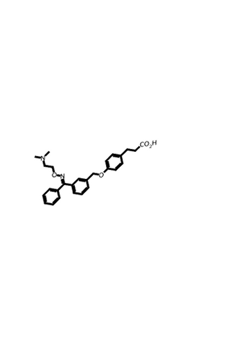 CN(C)CCO/N=C(\c1ccccc1)c1cccc(COc2ccc(CCC(=O)O)cc2)c1